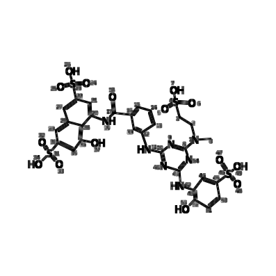 CN(CCS(=O)(=O)O)c1nc(Nc2cccc(C(=O)Nc3cc(S(=O)(=O)O)cc4cc(S(=O)(=O)O)cc(O)c34)c2)nc(Nc2cc(S(=O)(=O)O)ccc2O)n1